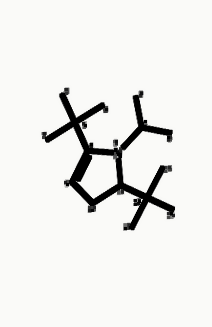 CC(C)N1C(C(C)(C)C)=CCC1C(C)(C)C